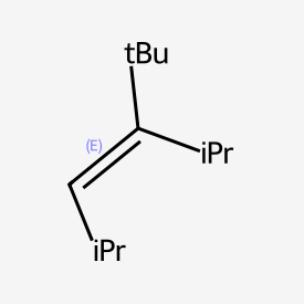 CC(C)/C=C(\C(C)C)C(C)(C)C